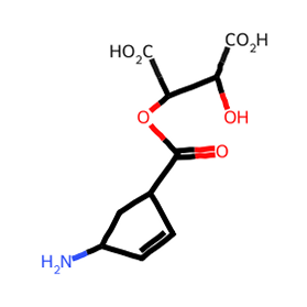 NC1C=CC(C(=O)OC(C(=O)O)C(O)C(=O)O)C1